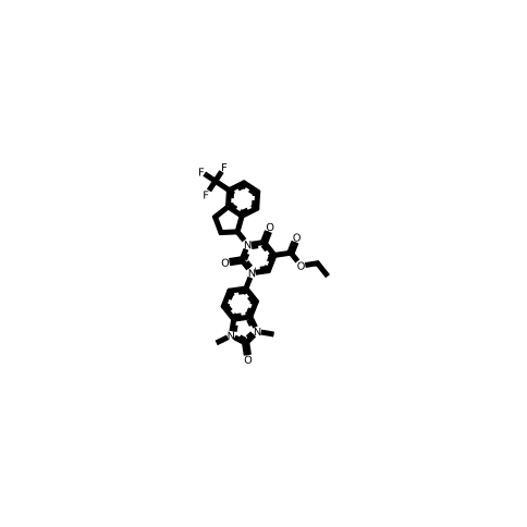 CCOC(=O)c1cn(-c2ccc3c(c2)n(C)c(=O)n3C)c(=O)n(C2CCc3c2cccc3C(F)(F)F)c1=O